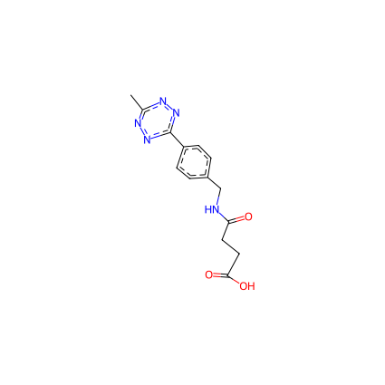 Cc1nnc(-c2ccc(CNC(=O)CCC(=O)O)cc2)nn1